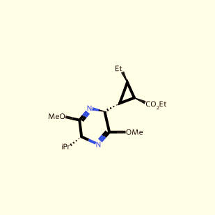 CCOC(=O)[C@@H]1[C@H](CC)[C@H]1[C@@H]1N=C(OC)[C@@H](C(C)C)N=C1OC